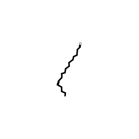 CCCC/C=C\CCCCCCCCCCC=O